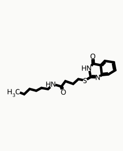 CCCCCCNC(=O)CCCSc1nc2ccccc2c(=O)[nH]1